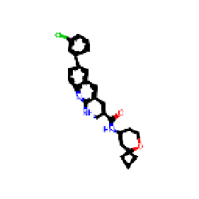 CC(Cc1cc2cc(-c3cccc(Cl)c3)ccc2nc1N)C(=O)NC1CCOC2(CCC2)C1